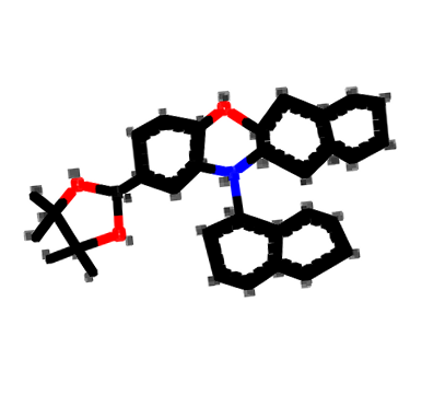 CC1(C)OB(c2ccc3c(c2)N(c2cccc4ccccc24)c2cc4ccccc4cc2O3)OC1(C)C